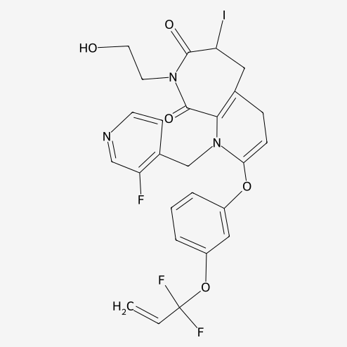 C=CC(F)(F)Oc1cccc(OC2=CCC3=C(C(=O)N(CCO)C(=O)C(I)C3)N2Cc2ccncc2F)c1